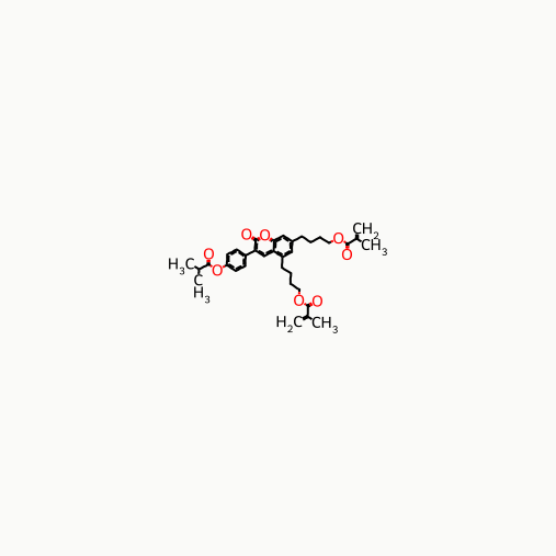 C=C(C)C(=O)OCCCCc1cc(CCCCOC(=O)C(=C)C)c2cc(-c3ccc(OC(=O)C(C)C)cc3)c(=O)oc2c1